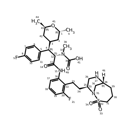 C[C@@H]1CC([C@H](c2ccc(F)cc2)[C@@H](C(=O)Nc2cccc(F)c2CC[C@H]2CN[C@@H]3CCCS(=O)(=O)N2C3)N(C)C(=O)O)C[C@@H](C)O1